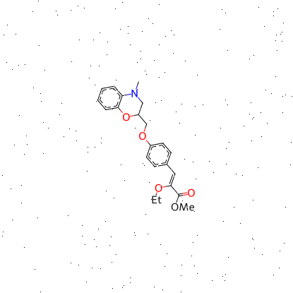 CCO/C(=C\c1ccc(OCC2CN(C)c3ccccc3O2)cc1)C(=O)OC